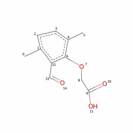 Cc1ccc(C)c(OCC(=O)O)c1C=O